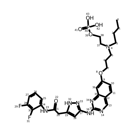 CCCCN(CCCOc1ccc2cnc(Nc3cc(CC(=O)Nc4cccc(F)c4F)[nH]n3)nc2c1)CCOP(=O)(O)O